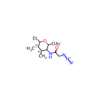 CCC1OC(OC(C)=O)C(NC(=O)CN=[N+]=[N-])[C@@H](C)[C@@H]1C